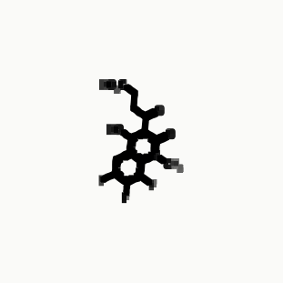 Cn1c(=O)c(C(=O)CCC(=O)O)c(O)c2cc(I)c(F)c(F)c21